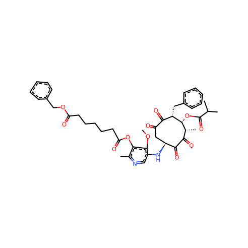 COc1c(N[C@H]2CC(=O)C(=O)[C@H](Cc3ccccc3)[C@H](OC(=O)C(C)C)[C@H](C)C(=O)C2=O)cnc(C)c1OC(=O)CCCCCC(=O)OCc1ccccc1